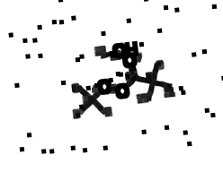 CC(C)(C)OOC(=O)C(C)(C)C.CO